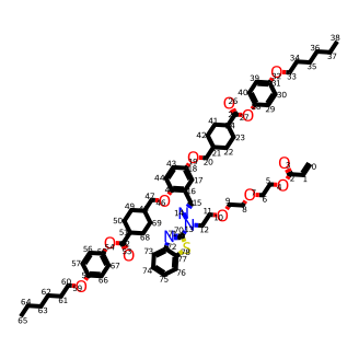 C=CC(=O)OCCOCCOCCN(/N=C/c1cc(OCC2CCC(C(=O)Oc3ccc(OCCCCCC)cc3)CC2)ccc1OCC1CCC(C(=O)Oc2ccc(OCCCCCC)cc2)CC1)c1nc2ccccc2s1